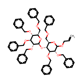 C=CCOC1O[C@H](COCc2ccccc2)[C@@H](O[C@@H]2O[C@H](COCc3ccccc3)[C@@H](OCc3ccccc3)[C@H](OCc3ccccc3)[C@H]2OCc2ccccc2)[C@H](OCc2ccccc2)[C@H]1OCc1ccccc1